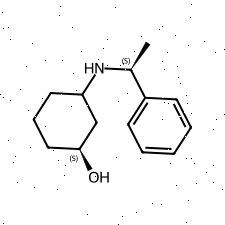 C[C@H](NC1CCC[C@H](O)C1)c1ccccc1